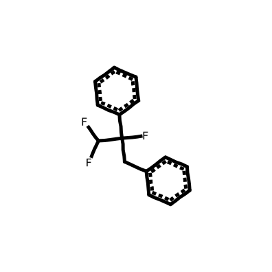 F[C](F)C(F)(Cc1ccccc1)c1ccccc1